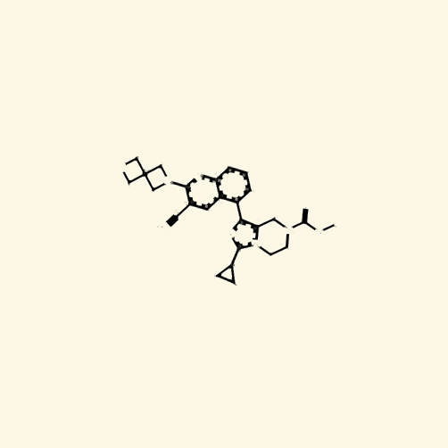 CNC(=O)N1CCn2c(C3CC3)nc(-c3cccc4nc(N5CC6(COC6)C5)c(C#N)cc34)c2C1